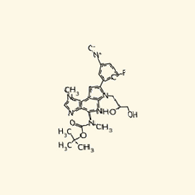 [C-]#[N+]c1cc(F)cc(-c2cc3c4c(ncn4C)c(N(C)C(=O)OC(C)(C)C)nc3n2CC(O)CO)c1